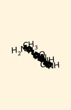 CC(N)C1CCN(CCc2ccc(-n3ccc(NC(=O)N4CCNCC4)nc3=O)cc2)CC1